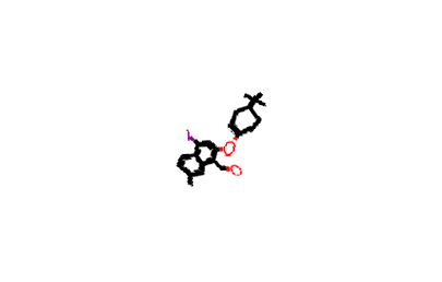 Cc1ccc2c(I)cc(OC3CCC(C(C)(C)C)CC3)c(C=O)c2c1